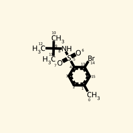 Cc1ccc(S(=O)(=O)NC(C)(C)C)c(Br)c1